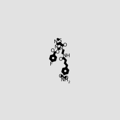 NS(=O)(=O)c1ccc(CCCC(=O)NCCn2c(OC(=O)c3ccc(F)cc3)nc3ncsc3c2=O)cc1